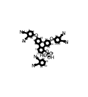 N#Cc1ccc(Oc2ccc(-c3cccc(OP(=O)(O)O)c3-c3ccc(Oc4ccc(C#N)c(C#N)c4)cc3)cc2)cc1C#N.N#Cc1ccccc1C#N